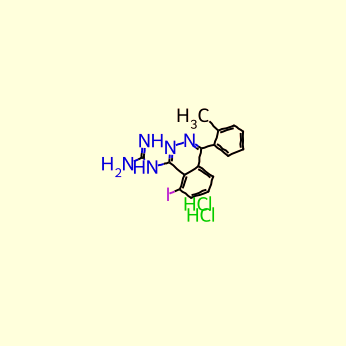 Cc1ccccc1-c1nnc(NC(=N)N)c2c(I)cccc12.Cl.Cl